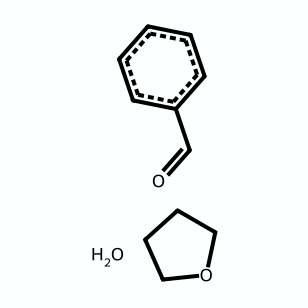 C1CCOC1.O.O=Cc1ccccc1